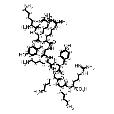 N=C(N)NCCC[C@H](NC(=O)[C@H](CCCCN)NC(=O)[C@H](CCCCN)NC(=O)[C@H](Cc1ccc(O)cc1)NC(=O)[C@H](CCCCN)NC(=O)[C@H](Cc1ccc(O)cc1)NC(=O)[C@H](CCCNC(=N)N)NC(=O)[C@H](CCCNC(=N)N)NC(=O)[C@@H](N)CCCCN)C(=O)O